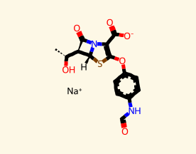 C[C@@H](O)[C@H]1C(=O)N2C(C(=O)[O-])=C(Oc3ccc(NC=O)cc3)S[C@H]12.[Na+]